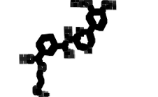 CCOCCOC(O)c1cccc(C(CC)Nc2cncc(-c3ccc(O)c(OC)c3)n2)c1